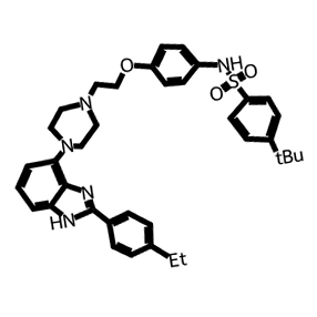 CCc1ccc(-c2nc3c(N4CCN(CCOc5ccc(NS(=O)(=O)c6ccc(C(C)(C)C)cc6)cc5)CC4)cccc3[nH]2)cc1